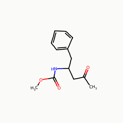 COC(=O)NC(CC(C)=O)Cc1ccccc1